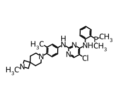 Cc1cc(Nc2ncc(Cl)c(Nc3ccccc3P(C)C)n2)ccc1N1CCC2(CC1)CN(C)C2